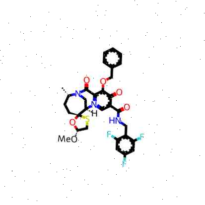 CO[C@H]1CS[C@]2(CC[C@H](C)N3C[C@H]2n2cc(C(=O)NCc4c(F)cc(F)cc4F)c(=O)c(OCc4ccccc4)c2C3=O)O1